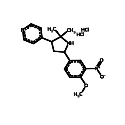 COc1ccc(C2CC(c3ccncc3)C(C)(C)N2)cc1[N+](=O)[O-].Cl.Cl